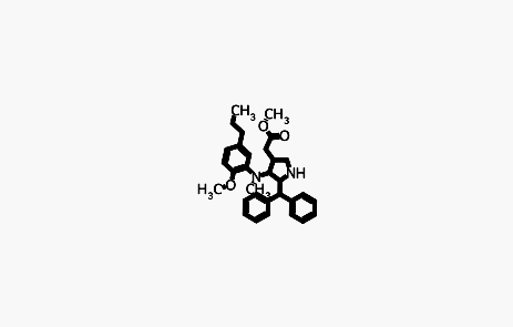 CCCc1ccc(OC)c(N(C)C2C(CC(=O)OC)CNC2C(c2ccccc2)c2ccccc2)c1